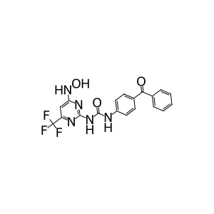 O=C(Nc1ccc(C(=O)c2ccccc2)cc1)Nc1nc(NO)cc(C(F)(F)F)n1